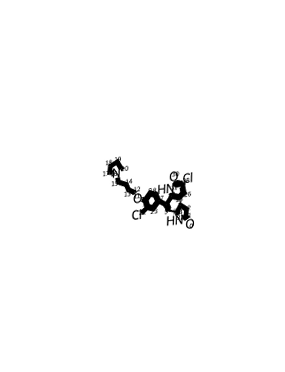 O=C1CC[C@H](C=C(c2ccc(OCCCCN3CCCC3)c(Cl)c2)c2ccc(Cl)c(=O)[nH]2)N1